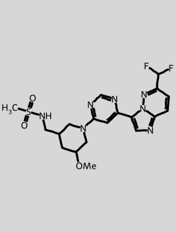 COC1CC(CNS(C)(=O)=O)CN(c2cc(-c3cnc4ccc(C(F)F)nn34)ncn2)C1